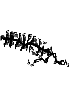 CCO[SiH](CC(F)(F)C(F)(F)C(F)(F)C(F)(F)C(F)(F)C(F)(F)C(F)(F)C(F)(F)F)OCC